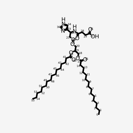 CCCCCCCCCCCCCCCC(=O)OCC(COOCC(NC(=O)CCC(=O)O)c1c[nH]cn1)OC(=O)CCCCCCCCCCCCCCC